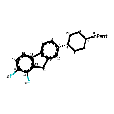 CCCCC[C@H]1CC[C@H](c2ccc3c(c2)Cc2c-3ccc(F)c2F)CC1